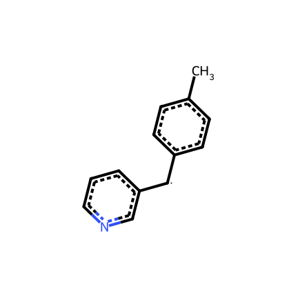 Cc1ccc([CH]c2cccnc2)cc1